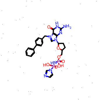 Nc1nc2c(c(=O)[nH]1)[n+](Cc1ccc(-c3ccccc3)cc1)cn2C1CCC(COP(=O)(O)NP(=O)(O)n2ccnc2)O1